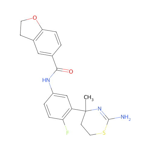 CC1(c2cc(NC(=O)c3ccc4c(c3)CCO4)ccc2F)CCSC(N)=N1